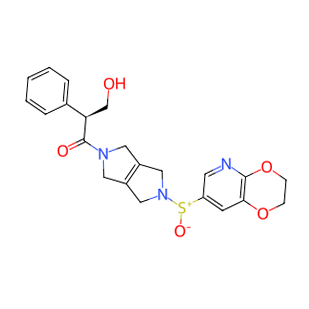 O=C([C@H](CO)c1ccccc1)N1CC2=C(C1)CN([S+]([O-])c1cnc3c(c1)OCCO3)C2